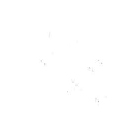 O=C(C1CCN(c2cnccc2-n2cc(Br)cn2)CC1)N1CCC(F)C1